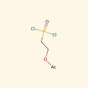 CC(=O)OCCP(=O)(Cl)Cl